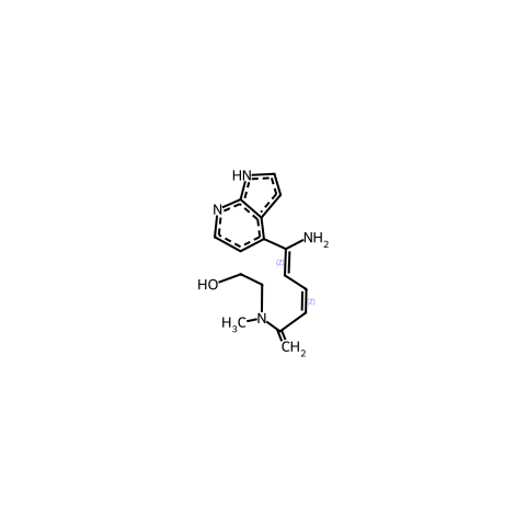 C=C(/C=C\C=C(/N)c1ccnc2[nH]ccc12)N(C)CCO